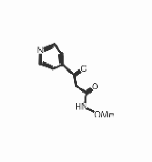 CONC(=O)CC(=O)c1ccncc1